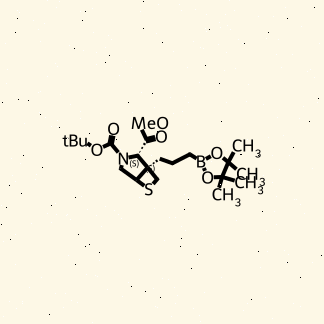 COC(=O)[C@H]1N(C(=O)OC(C)(C)C)CC2SC[C@@]21CCCB1OC(C)(C)C(C)(C)O1